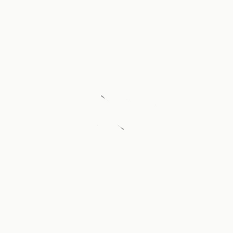 C=CC[C@@H](C(=O)OC(=C)C)[C@@H](CC(C)C)C(=O)O